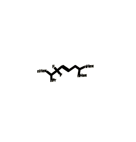 CCCCCCC(C/C=C/C(F)(F)C(CCC)CCCCCC)CCCCCC